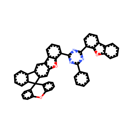 c1ccc(-c2nc(-c3cccc4c3oc3ccccc34)nc(-c3cccc4c3oc3cc5c(cc34)-c3ccccc3C53c4ccccc4Oc4ccccc43)n2)cc1